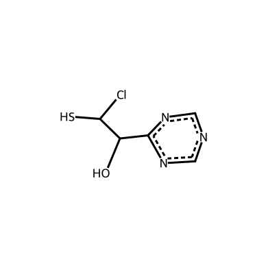 OC(c1ncncn1)C(S)Cl